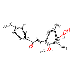 CCCOc1c(/C=C/C(=O)c2ccc(NC)cc2)cc(C(C)C)c(O)c1C(C)C